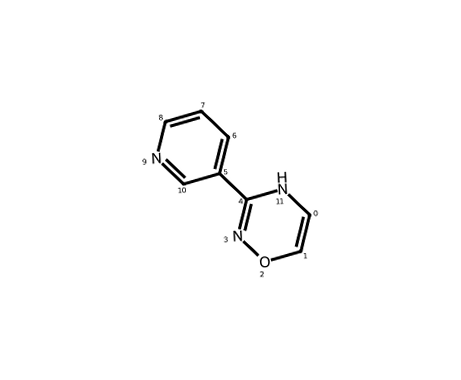 C1=CON=C(c2cccnc2)N1